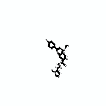 CCOc1cc(-c2ccc(F)cc2)nc2cc(C(=O)NCCc3cncn3C)ccc12